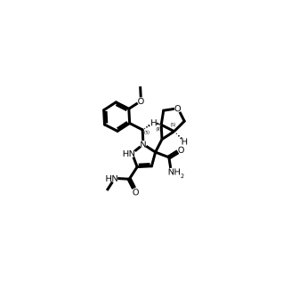 CNC(=O)C1=CC(C(N)=O)(C2[C@H]3COC[C@@H]23)N([C@@H](C)c2ccccc2OC)N1